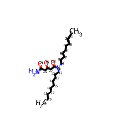 CCCCCCCCCCN(CCCCCCCCCC)C(=O)CC(=O)CC(N)=O